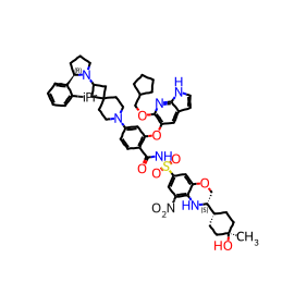 CC(C)c1ccccc1[C@H]1CCCN1C1CC2(CCN(c3ccc(C(=O)NS(=O)(=O)c4cc5c(c([N+](=O)[O-])c4)N[C@@H]([C@H]4CC[C@](C)(O)CC4)CO5)c(Oc4cc5cc[nH]c5nc4OCC4CCCC4)c3)CC2)C1